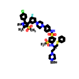 CNN1CCN(CC[C@H](CSc2ccccc2)Nc2ccc(S(=O)(=O)Nc3ccc(N4CCN(c5cc(F)cc(-c6c(S(C)(=O)=O)c(C)n(C(C)C)c6-c6ccc(Cl)cc6)c5)CC4)cc3)cc2S(=O)(=O)C(F)(F)F)CC1